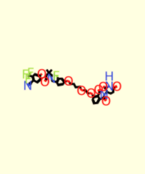 CC1(C)CN(Cc2ccc(OCCCCOCCOc3cccc4c3C(=O)N(C3CCC(=O)NC3=O)C4=O)cc2F)C(=O)C1Oc1ccc(C#N)c(C(F)(F)F)c1